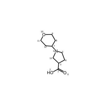 O=C(O)C1CCN(C2CCOCC2)C1